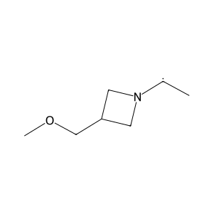 C[CH]N1CC(COC)C1